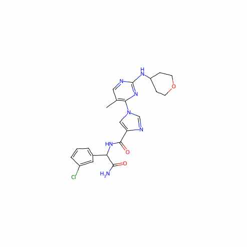 Cc1cnc(NC2CCOCC2)nc1-n1cnc(C(=O)NC(C(N)=O)c2cccc(Cl)c2)c1